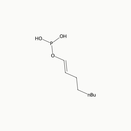 CCCCCC/C=C/OP(O)O